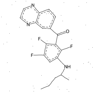 CCCC(C)Nc1cc(F)c(F)c(C(=O)c2ccc3nccnc3c2)c1F